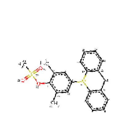 Cc1cc([S+]2c3ccccc3Cc3ccccc32)cc(C)c1OS(C)(=O)=O